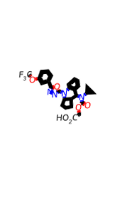 O=C(O)COC(=O)N(C1CC1)C1c2ccccc2N(c2nnc(-c3cccc(OC(F)(F)F)c3)o2)C2CCCC21